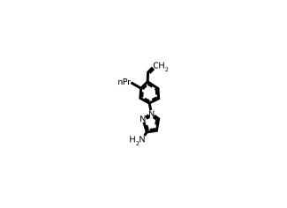 C=Cc1ccc(-n2ccc(N)n2)cc1CCC